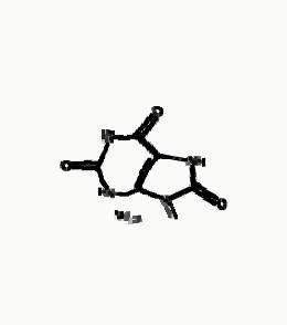 N.O=c1[nH]c(=O)c2[nH]c(=O)[nH]c2[nH]1